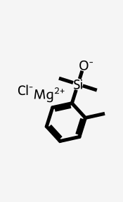 Cc1ccccc1[Si](C)(C)[O-].[Cl-].[Mg+2]